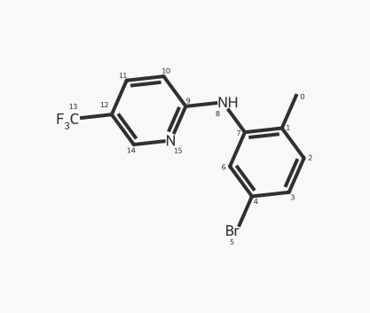 Cc1ccc(Br)cc1Nc1ccc(C(F)(F)F)cn1